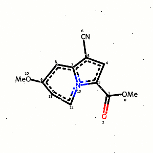 COC(=O)c1cc(C#N)c2cc(OC)ccn12